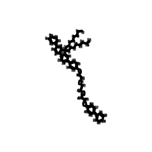 CCCCCCCCC1(CCCCCCCC)c2cc(-c3ccccc3)ccc2-c2ccc(-c3ccc(OCCOCCOCCOc4ccc(-c5ccccc5)cc4)cc3)cc21